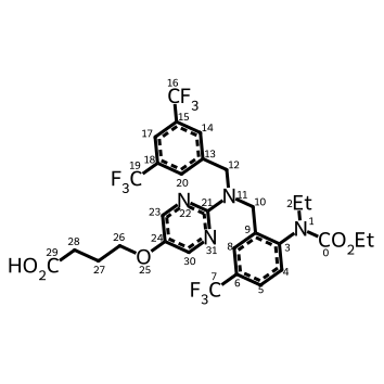 CCOC(=O)N(CC)c1ccc(C(F)(F)F)cc1CN(Cc1cc(C(F)(F)F)cc(C(F)(F)F)c1)c1ncc(OCCCC(=O)O)cn1